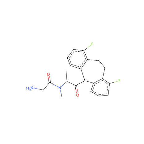 CC(C(=O)C1c2cccc(F)c2CCc2c(F)cccc21)N(C)C(=O)CN